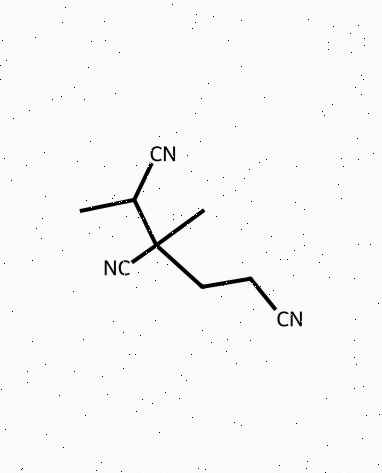 CC(C#N)C(C)(C#N)CCC#N